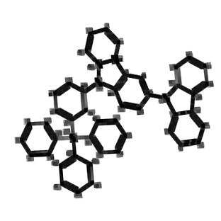 C1=CN2c3cc(-n4c5ccccc5c5ccccc54)ccc3N(c3cccc([Si](c4ccccc4)(c4ccccc4)c4ccccc4)c3)N2C=C1